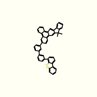 CC1(C)c2ccccc2-c2cc3c4ccccc4c4cc(-c5cccc(-c6cccc(-c7cccc8c7sc7ccccc78)c6)c5)ccc4c3cc21